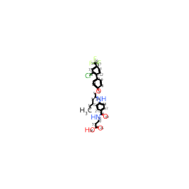 CCCC[C@@H](COc1ccc(-c2ccc(C(F)(F)F)cc2Cl)cc1)Nc1ccc(C(=O)NCCC(=O)O)cc1